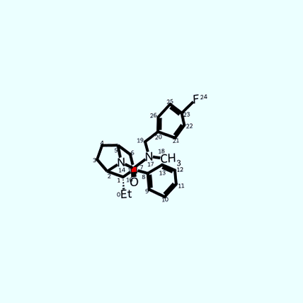 CC[C@@H]1C2CCC(CN1c1ccccc1)N2C(=O)N(C)Cc1ccc(F)cc1